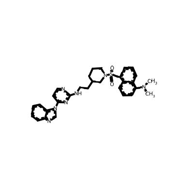 CN(C)c1cccc2c(S(=O)(=O)N3CCCC(CCNc4nccc(-n5cnc6ccccc65)n4)C3)cccc12